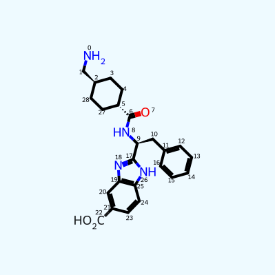 NC[C@H]1CC[C@H](C(=O)N[C@@H](Cc2ccccc2)c2nc3cc(C(=O)O)ccc3[nH]2)CC1